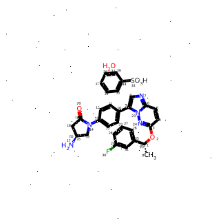 C[C@@H](Oc1ccc2ncc(-c3ccc(N4C[C@@H](N)CC4=O)cc3)n2n1)c1cccc(F)c1.O.O=S(=O)(O)c1ccccc1